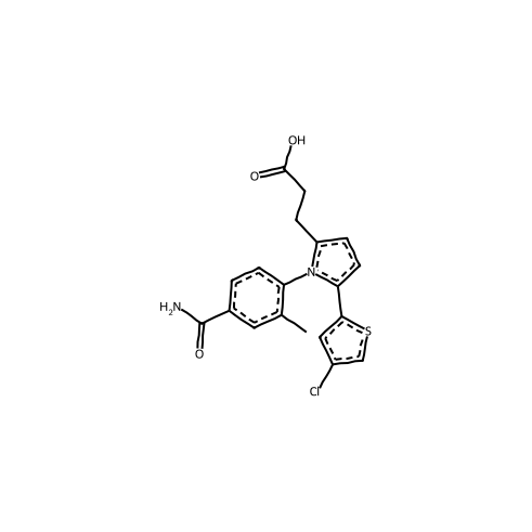 Cc1cc(C(N)=O)ccc1-n1c(CCC(=O)O)ccc1-c1cc(Cl)cs1